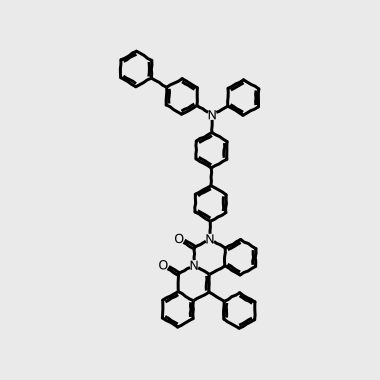 O=c1c2ccccc2c(-c2ccccc2)c2c3ccccc3n(-c3ccc(-c4ccc(N(c5ccccc5)c5ccc(-c6ccccc6)cc5)cc4)cc3)c(=O)n12